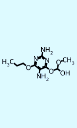 CCCOc1nc(N)nc(OC(O)OC)c1N